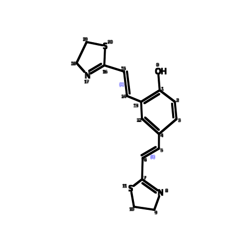 Oc1ccc(/C=C/C2=NCCS2)cc1/C=C/C1=NCCS1